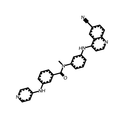 CN(C(=O)c1cccc(Nc2ccncc2)c1)c1cccc(Nc2ccnc3ccc(C#N)cc23)c1